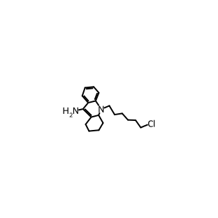 NC1=C2CCCCC2N(CCCCCCCl)c2ccccc21